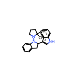 CC1(C)CCCN1N1c2ccccc2CC1c1c[nH]c2ccccc12